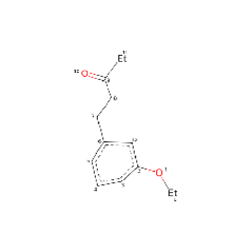 CCOc1cccc(CCC(=O)CC)c1